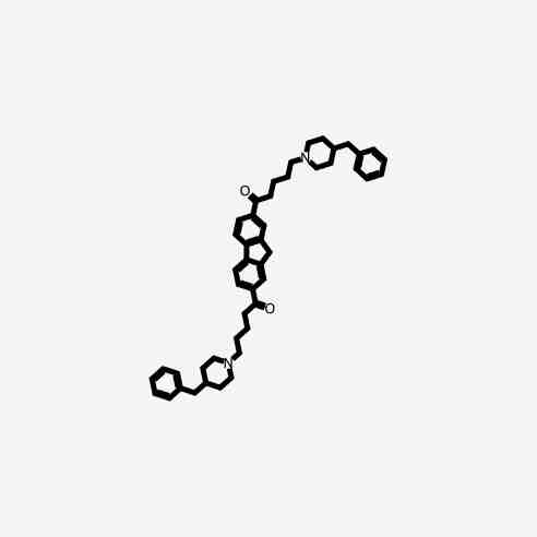 O=C(CCCCN1CCC(Cc2ccccc2)CC1)c1ccc2c(c1)Cc1cc(C(=O)CCCCN3CCC(Cc4ccccc4)CC3)ccc1-2